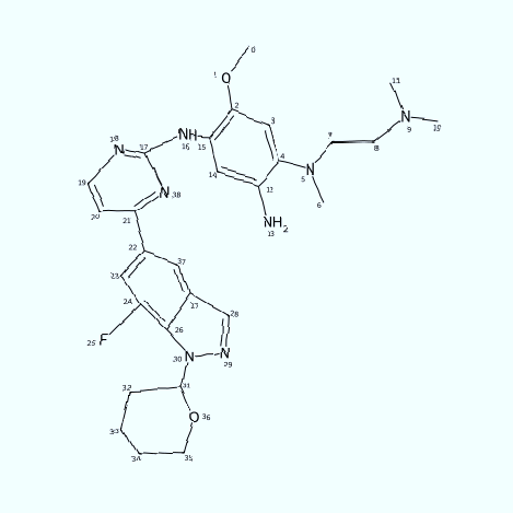 COc1cc(N(C)CCN(C)C)c(N)cc1Nc1nccc(-c2cc(F)c3c(cnn3C3CCCCO3)c2)n1